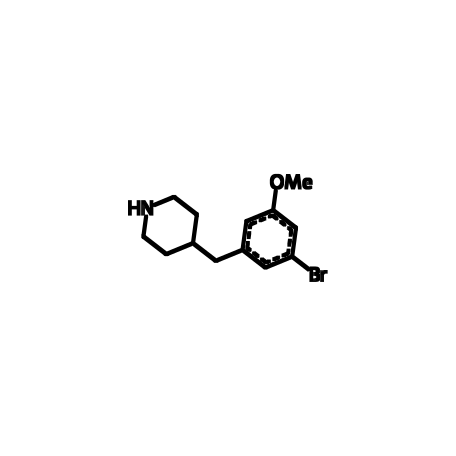 COc1cc(Br)cc(CC2CCNCC2)c1